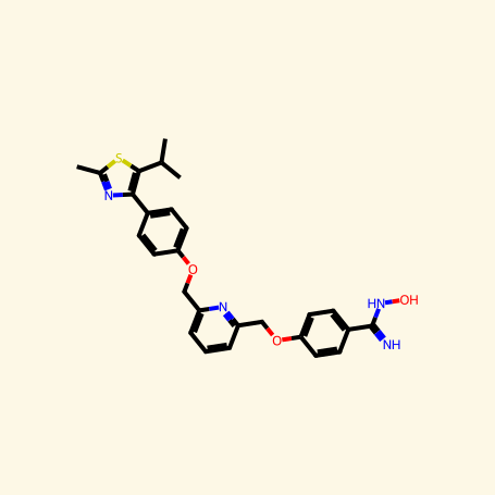 Cc1nc(-c2ccc(OCc3cccc(COc4ccc(C(=N)NO)cc4)n3)cc2)c(C(C)C)s1